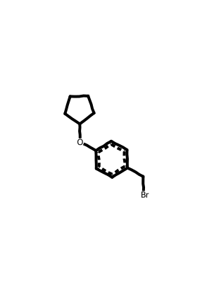 BrCc1ccc(OC2CCCC2)cc1